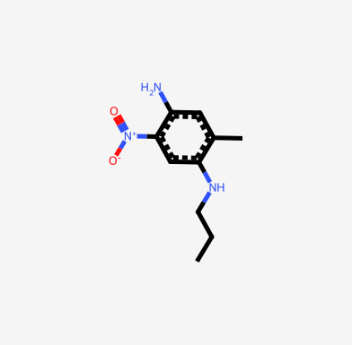 CCCNc1cc([N+](=O)[O-])c(N)cc1C